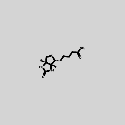 NC(=O)CCCC[C@H]1SC[C@H]2NC(=O)N[C@H]21